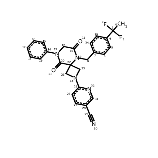 CC(F)(F)c1ccc(CN2C(=O)CN(c3ccccc3)C(=O)C23CN(c2ccc(C#N)cn2)C3)cc1